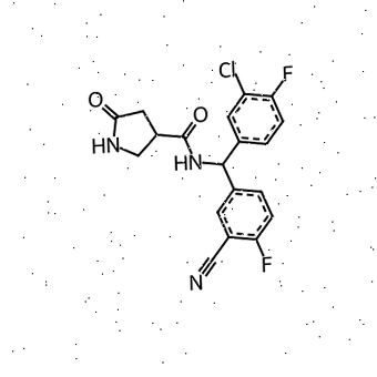 N#Cc1cc(C(NC(=O)C2CNC(=O)C2)c2ccc(F)c(Cl)c2)ccc1F